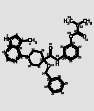 Cc1c[nH]c2ncnc(N3CCC(OCc4ccccc4)(C(=O)Nc4cccc(OC(=O)N(C)C)c4)CC3)c12